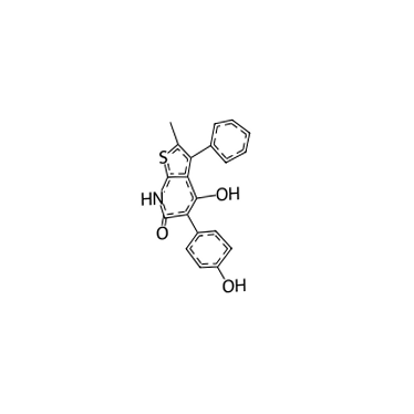 Cc1sc2[nH]c(=O)c(-c3ccc(O)cc3)c(O)c2c1-c1ccccc1